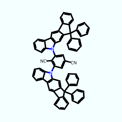 N#Cc1cc(-n2c3ccccc3c3cc4c(cc32)C(c2ccccc2)(c2ccccc2)c2ccccc2-4)c(C#N)c(-n2c3ccccc3c3cc4c(cc32)C(c2ccccc2)(c2ccccc2)c2ccccc2-4)c1